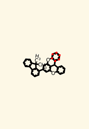 CC1(C)c2ccccc2-c2cccc(-c3cc4c5c(c3)Oc3ccccc3C5(c3ccccc3)c3ccccc3O4)c21